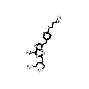 CCCC(CC)Oc1nc(N)c2ncc(Cc3ccc(OCCNC)nc3)n2n1